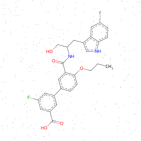 CCCOc1ccc(-c2cc(F)cc(C(=O)O)c2)cc1C(=O)NC(CO)Cc1c[nH]c2ccc(F)cc12